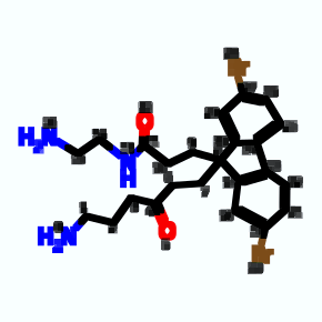 NCCCC(=O)CCC1(CCC(=O)NCCN)c2cc(Br)ccc2-c2ccc(Br)cc21